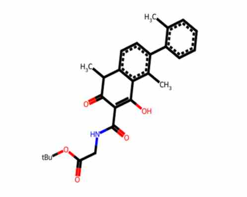 Cc1ccccc1-c1ccc2c(c1C)C(O)=C(C(=O)NCC(=O)OC(C)(C)C)C(=O)C2C